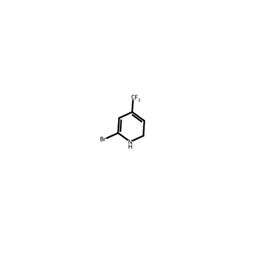 FC(F)(F)C1=CCNC(Br)=C1